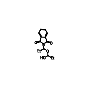 CCC(O)OC(CC)N1C(=O)c2ccccc2C1=O